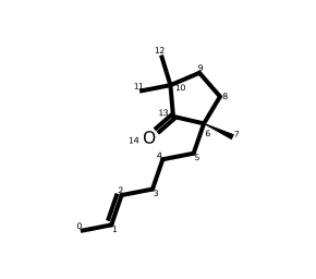 CC=CCCC[C@@]1(C)CCC(C)(C)C1=O